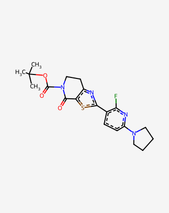 CC(C)(C)OC(=O)N1CCc2nc(-c3ccc(N4CCCC4)nc3F)sc2C1=O